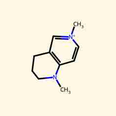 CN1CCCc2c[n+](C)ccc21